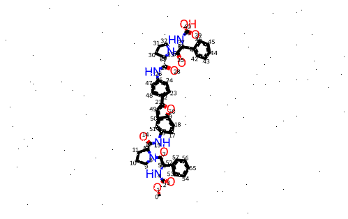 COC(=O)N[C@@H](C(=O)N1CCC[C@H]1C(=O)Nc1ccc2oc(-c3ccc(NC(=O)[C@@H]4CCCN4C(=O)[C@H](NC(=O)O)c4ccccc4)cc3)cc2c1)c1ccccc1